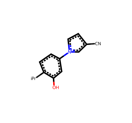 CC(C)c1ccc(-n2ccc(C#N)c2)cc1O